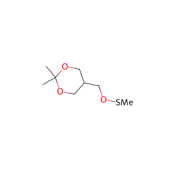 CSOCC1COC(C)(C)OC1